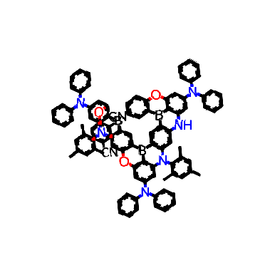 [C-]#[N+]c1ccc2c(c1)B1c3cc4c(cc3Nc3cc(N(c5ccccc5)c5ccccc5)cc(c31)O2)N(c1c(C)cc(C)cc1C)c1cc(N(c2ccccc2)c2ccccc2)cc2c1B4c1cc3c(cc1O2)N(c1c(C)cc(C)cc1C)c1cc(N(c2ccccc2)c2ccccc2)cc2c1B3c1cc(C#N)ccc1O2